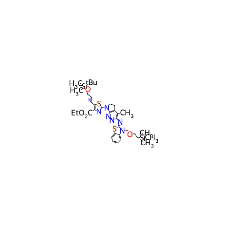 CCOC(=O)c1nc(N2CCc3c2nnc(N=c2sc4ccccc4n2COCC[Si](C)(C)C)c3C)sc1/C=C/CO[Si](C)(C)C(C)(C)C